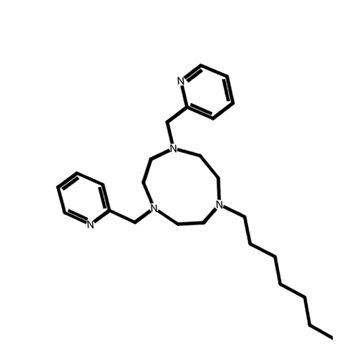 CCCCCCCCN1CCN(Cc2ccccn2)CCN(Cc2ccccn2)CC1